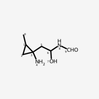 CC1CC1(N)CC(O)NC=O